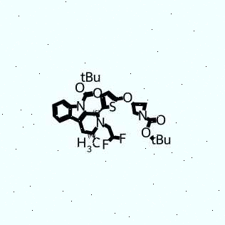 C[C@@H]1Cc2c(n(C(=O)OC(C)(C)C)c3ccccc23)[C@@H](c2ccc(OC3CN(C(=O)OC(C)(C)C)C3)s2)N1CC(F)F